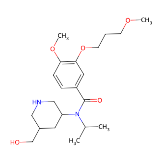 COCCCOc1cc(C(=O)N(C(C)C)C2CNCC(CO)C2)ccc1OC